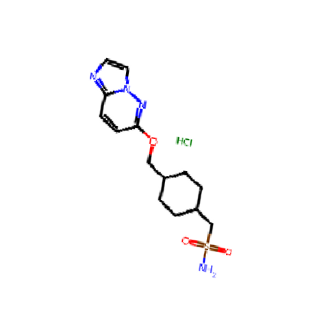 Cl.NS(=O)(=O)CC1CCC(COc2ccc3nccn3n2)CC1